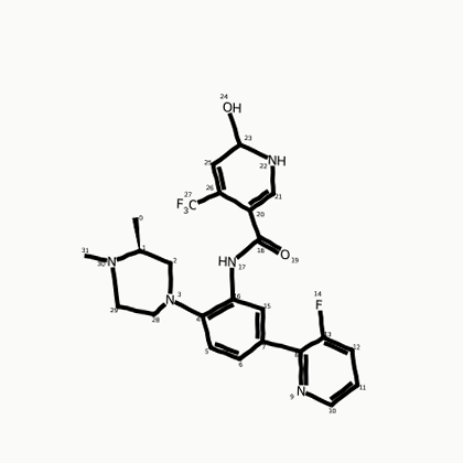 C[C@H]1CN(c2ccc(-c3ncccc3F)cc2NC(=O)C2=CNC(O)C=C2C(F)(F)F)CCN1C